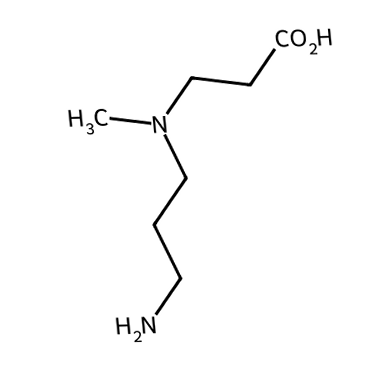 CN(CCCN)CCC(=O)O